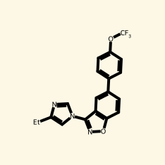 CCc1cn(-c2noc3ccc(-c4ccc(OC(F)(F)F)cc4)cc23)cn1